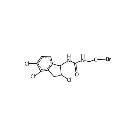 O=C(NCCBr)NC1c2ccc(Cl)c(Cl)c2CC1Cl